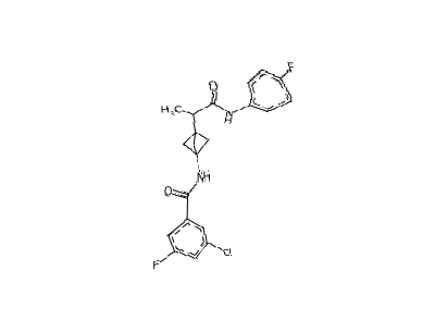 CC(C(=O)Nc1ccc(F)cc1)C12CC(NC(=O)c3cc(F)cc(Cl)c3)(C1)C2